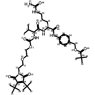 CC(C)[C@H](NC(=O)OCCOCCN1C(=O)C(C(C)(C)C)=C(C(C)(C)C)C1=O)C(=O)N[C@@H](CCCNC(N)=O)C(=O)Nc1ccc(COC(=O)C(C)(C)C)cc1